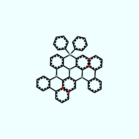 c1ccc(-c2ccccc2N2c3cccc4c3B3c5c2cccc5[Si](c2ccccc2)(c2ccccc2)c2cccc(c23)N4c2ccccc2-c2ccccc2)cc1